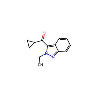 N#CCn1nc2ccc[c]c2c1C(=O)C1CC1